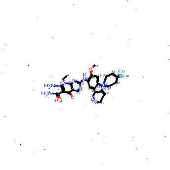 CCn1c(N)c(C(N)=O)c(=O)c2cnc(Nc3ccc([N+]4(C5CCNCC5)CCC(F)(F)CC4)cc3OC)nc21